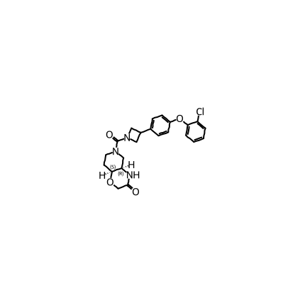 O=C1CO[C@H]2CCN(C(=O)N3CC(c4ccc(Oc5ccccc5Cl)cc4)C3)C[C@H]2N1